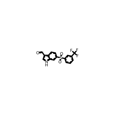 O=[C]c1c[nH]c2cc(S(=O)(=O)c3cccc(C(F)(F)F)c3)ccc12